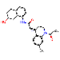 CCCCC(=O)N1CC/C(=C\C(=O)Nc2cccc3c2CC(O)CC3)c2ccc(C(F)(F)F)cc21